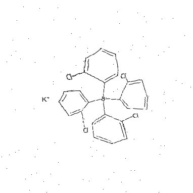 Clc1ccccc1[B-](c1ccccc1Cl)(c1ccccc1Cl)c1ccccc1Cl.[K+]